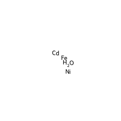 O.[Cd].[Fe].[Ni]